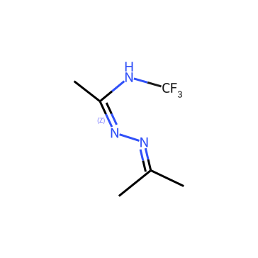 CC(C)=N/N=C(/C)NC(F)(F)F